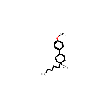 CCCCCC1(C)CCC(c2ccc(OC)cc2)CC1